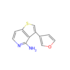 Nc1nccc2scc(-c3ccoc3)c12